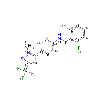 Cn1nc(C(F)(F)F)cc1-c1ccc(NCc2c(F)cccc2F)cc1